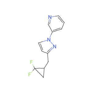 FC1(F)CC1Cc1ccn(-c2cccnc2)n1